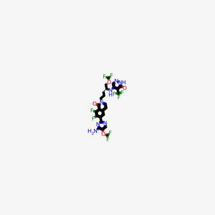 Nc1nc(-c2cc3ccn(CCC[C@H](COC(F)F)Nc4cn[nH]c(=O)c4C(F)(F)F)c(=O)c3c(F)c2F)ncc1OC(F)F